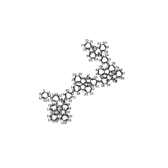 c1ccc(-c2ccc(N(c3ccc(-c4ccc5c(c4)-c4ccccc4C54c5ccccc5-c5sc6cc(-c7ccc8c(c7)C7(c9ccccc9-c9c(-c%10ccc(N(c%11ccccc%11)c%11cccc%12c%11oc%11ccccc%11%12)cc%10)cccc97)c7c-8sc8ccccc78)ccc6c54)cc3)c3ccc4c(c3)C(c3ccccc3)(c3ccccc3)c3ccccc3-4)cc2)cc1